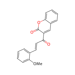 COc1ccccc1C=CC(=O)c1cc2ccccc2oc1=O